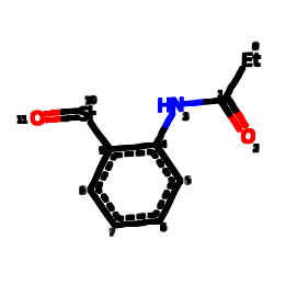 CCC(=O)Nc1ccccc1[Si]=O